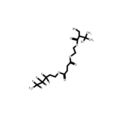 CCC(C)(C)C(CC(C)C)C(=O)OCCOC(=O)CCC(=O)OCCC(F)(F)C(F)(F)C(F)(F)C(F)(F)F